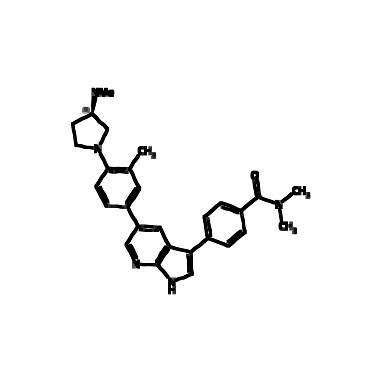 CN[C@@H]1CCN(c2ccc(-c3cnc4[nH]cc(-c5ccc(C(=O)N(C)C)cc5)c4c3)cc2C)C1